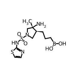 C[C@]1(N)CN(S(=O)(=O)Nc2nccs2)C[C@@H]1CCCB(O)O